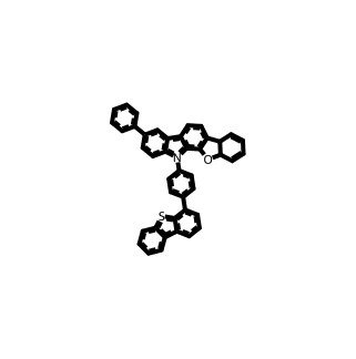 C1=CC2Oc3c(ccc4c5cc(-c6ccccc6)ccc5n(-c5ccc(-c6cccc7c6sc6ccccc67)cc5)c34)C2C=C1